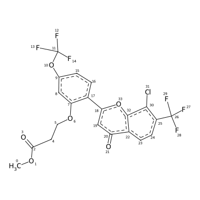 COC(=O)CCOc1cc(OC(F)(F)F)ccc1-c1cc(=O)c2ccc(C(F)(F)F)c(Cl)c2o1